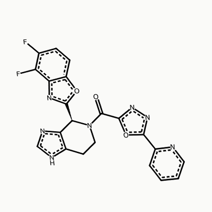 O=C(c1nnc(-c2ccccn2)o1)N1CCc2[nH]cnc2[C@H]1c1nc2c(F)c(F)ccc2o1